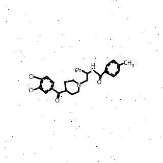 Cc1ccc(C(=O)NC(CN2CCC(C(=O)c3ccc(Cl)c(Cl)c3)CC2)C(C)C)cc1